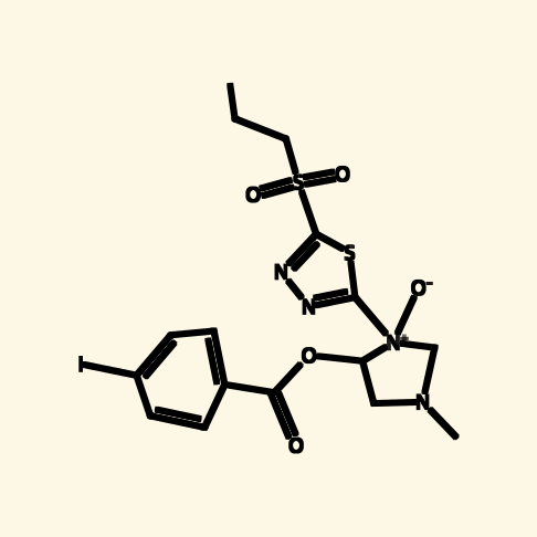 CCCS(=O)(=O)c1nnc([N+]2([O-])CN(C)CC2OC(=O)c2ccc(I)cc2)s1